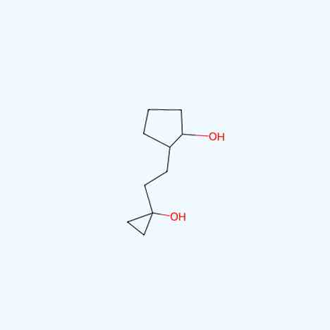 OC1CCCC1CCC1(O)CC1